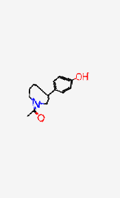 CC(=O)N1CCCC(c2ccc(O)cc2)C1